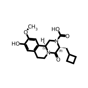 COc1cc2c(cc1O)CCN1C(=O)[C@@H](CC3CCC3)N(C(=O)O)C[C@H]21